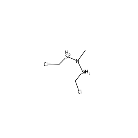 CN([SiH2]CCl)[SiH2]CCl